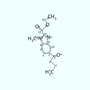 CCCC(=O)c1ccc2c(c1)nc(C(=O)OCC)n2C